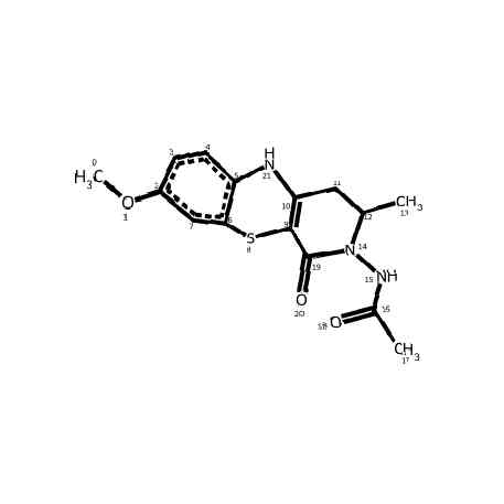 COc1ccc2c(c1)SC1=C(CC(C)N(NC(C)=O)C1=O)N2